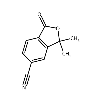 CC1(C)OC(=O)c2ccc(C#N)cc21